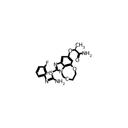 C[C@H](Oc1cc2c3c(c1)nc([SH]1C(N)=Nc4cccc(F)c41)n3CCCCO2)C(N)=O